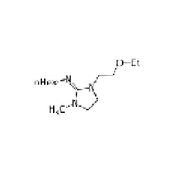 CCCCCC/N=C1\N(C)CCN1CCOCC